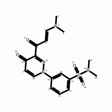 CN(C)C=CC(=O)c1nn(-c2cccc(S(=O)(=O)N(C)C)c2)ccc1=O